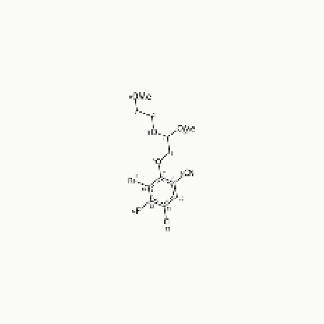 COCCOC(COc1c(C#N)cc(Cl)c(F)c1Br)OC